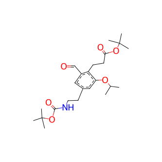 CC(C)Oc1cc(CCNC(=O)OC(C)(C)C)cc(C=O)c1CCC(=O)OC(C)(C)C